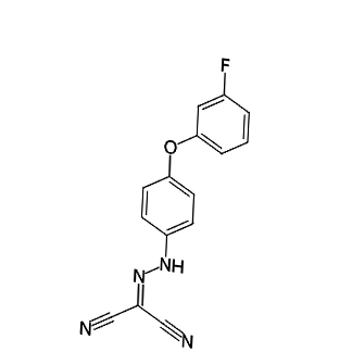 N#CC(C#N)=NNc1ccc(Oc2cccc(F)c2)cc1